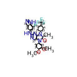 COc1ccc(N2C(=O)[C@@H](C)N(C3CCC(C(F)(F)F)CC3)c3nc(Nc4cc(F)c5[nH]ncc5c4)ncc32)cc1OC